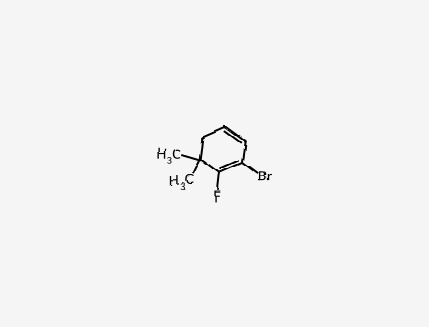 CC1(C)CC=CC(Br)=C1F